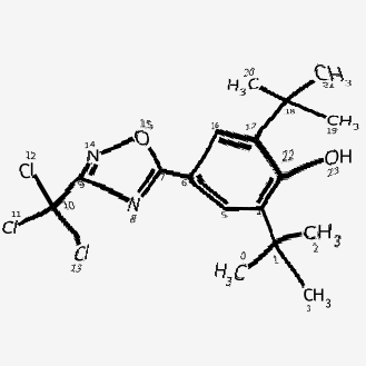 CC(C)(C)c1cc(-c2nc(C(Cl)(Cl)Cl)no2)cc(C(C)(C)C)c1O